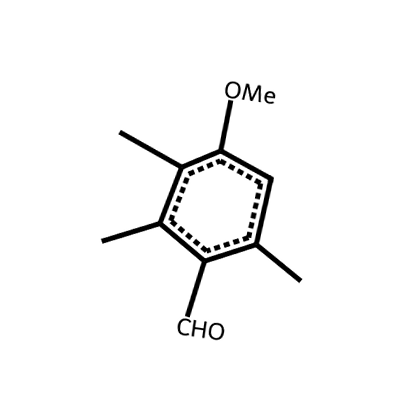 COc1cc(C)c(C=O)c(C)c1C